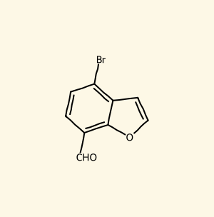 O=Cc1ccc(Br)c2ccoc12